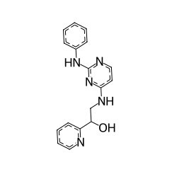 OC(CNc1ccnc(Nc2ccccc2)n1)c1ccccn1